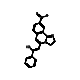 O=[N+]([O-])c1ccc2c(c1)C1=NCCN1C(/C=C(\O)c1ccccc1)=N2